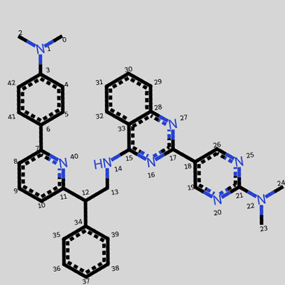 CN(C)c1ccc(-c2cccc(C(CNc3nc(-c4cnc(N(C)C)nc4)nc4ccccc34)c3ccccc3)n2)cc1